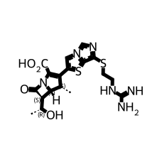 C[C@@H](O)[C@H]1C(=O)N2C(C(=O)O)=C(c3cn4cnc(SCCNC(=N)N)c4s3)[C@H](C)[C@H]12